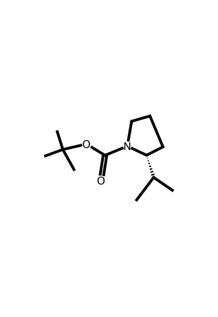 CC(C)[C@H]1CCCN1C(=O)OC(C)(C)C